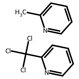 Cc1ccccn1.ClC(Cl)(Cl)c1ccccn1